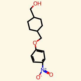 O=[N+]([O-])c1ccc(OCC2CCC(CO)CC2)cc1